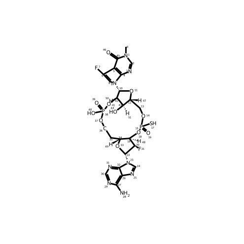 Cn1cnc2c(c(F)cn2[C@@H]2O[C@@H]3COP(=O)(S)O[C@H]4[C@@H](F)[C@H](n5cnc6c(N)ncnc65)O[C@@H]4CCOP(=O)(O)O[C@@H]2[C@@H]3O)c1=O